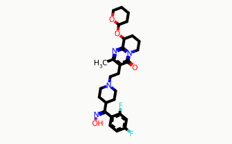 Cc1nc2n(c(=O)c1CCN1CCC(/C(=N/O)c3ccc(F)cc3F)CC1)CCCC2OC1CCCCO1